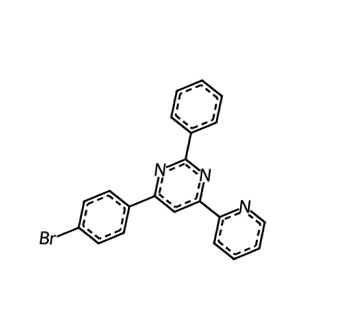 Brc1ccc(-c2cc(-c3ccccn3)nc(-c3ccccc3)n2)cc1